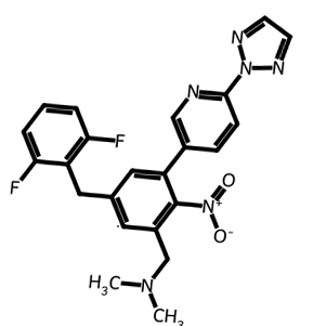 CN(C)Cc1[c]c(Cc2c(F)cccc2F)cc(-c2ccc(-n3nccn3)nc2)c1[N+](=O)[O-]